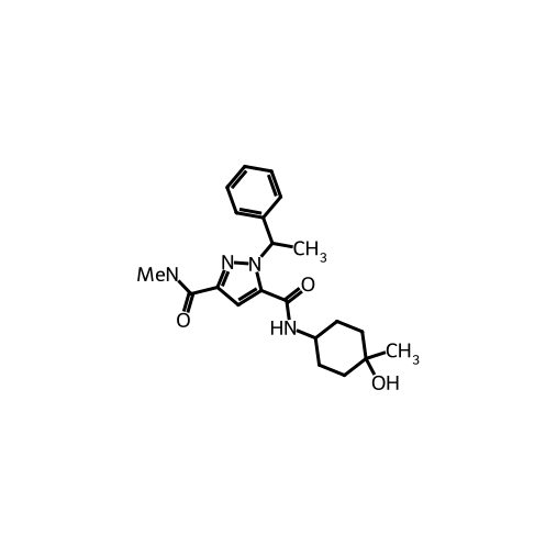 CNC(=O)c1cc(C(=O)NC2CCC(C)(O)CC2)n(C(C)c2ccccc2)n1